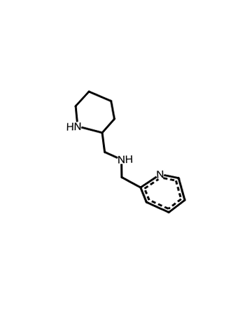 c1ccc(CNCC2CCCCN2)nc1